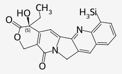 CC[C@@]1(O)C(=O)OCc2c1cc1n(c2=O)Cc2cc3cccc([SiH3])c3nc2-1